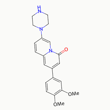 COc1ccc(-c2cc(=O)n3cc(N4CCNCC4)ccc3c2)cc1OC